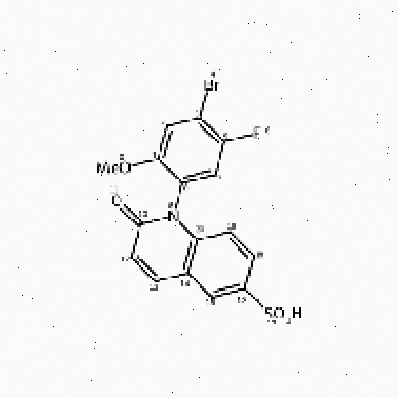 COc1cc(Br)c(F)cc1-n1c(=O)ccc2cc(S(=O)(=O)O)ccc21